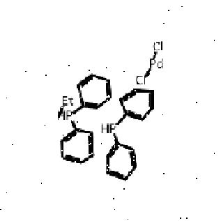 CCC.[Cl][Pd][Cl].c1ccc(Pc2ccccc2)cc1.c1ccc(Pc2ccccc2)cc1